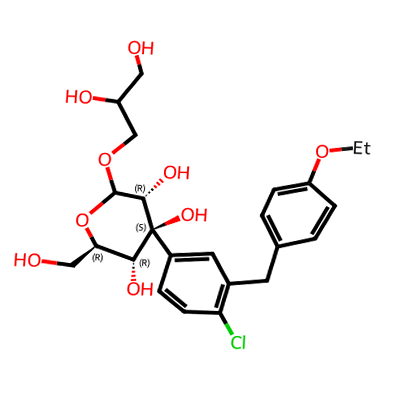 CCOc1ccc(Cc2cc([C@]3(O)[C@H](O)[C@@H](CO)OC(OCC(O)CO)[C@@H]3O)ccc2Cl)cc1